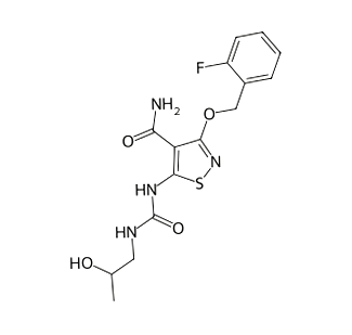 CC(O)CNC(=O)Nc1snc(OCc2ccccc2F)c1C(N)=O